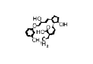 CCC(/C=C\C[C@H]1[C@@H](O)CC[C@@H]1/C=C/[C@@H](O)COc1cccc(C)c1)C(=O)O